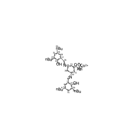 CC(=O)[O-].CC(=O)[O-].CCCCc1cc(C=Nc2cccc(N=Cc3cc(CCCC)cc(CCCC)c3O)c2)c(O)c(CCCC)c1.[Co+2]